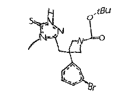 Cn1c(CC2(c3cccc(Br)c3)CN(C(=O)OC(C)(C)C)C2)n[nH]c1=S